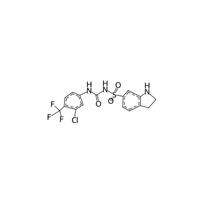 O=C(Nc1ccc(C(F)(F)F)c(Cl)c1)NS(=O)(=O)c1ccc2c(c1)NCC2